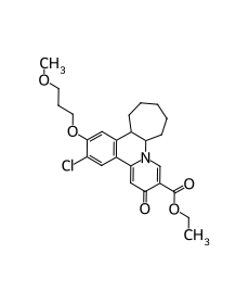 CCOC(=O)c1cn2c(cc1=O)-c1cc(Cl)c(OCCCOC)cc1C1CCCCCC12